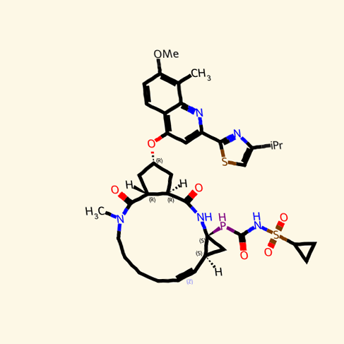 COc1ccc2c(O[C@@H]3C[C@H]4C(=O)N[C@]5(PC(=O)NS(=O)(=O)C6CC6)C[C@H]5/C=C\CCCCN(C)C(=O)[C@@H]4C3)cc(-c3nc(C(C)C)cs3)nc2c1C